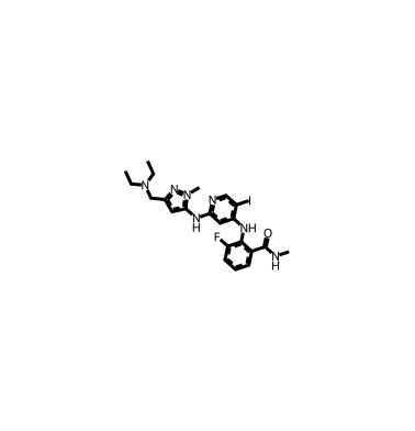 CCN(CC)Cc1cc(Nc2cc(Nc3c(F)cccc3C(=O)NC)c(I)cn2)n(C)n1